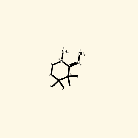 CC1(C)CCN(N)/C(=N\N)C1(C)C